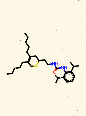 CCCCCC1=C(CCCCC)CC(CCNC(=O)Nc2c(C(C)C)cccc2C(C)C)SC1